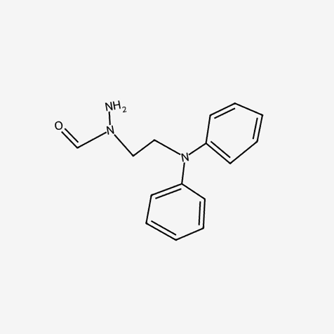 NN(C=O)CCN(c1ccccc1)c1ccccc1